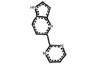 c1cnc(-c2ccc3[nH]ccc3n2)nc1